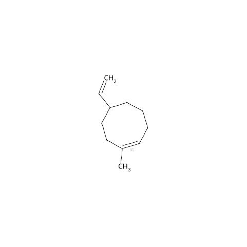 C=CC1CCC/C=C(/C)CC1